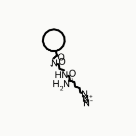 CN(CC(=O)C1CCCCCCCCCCCCCC1)C(=O)CCNC(=O)[C@@H](N)CCCCN=[N+]=[N-]